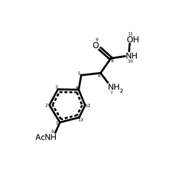 CC(=O)Nc1ccc(CC(N)C(=O)NO)cc1